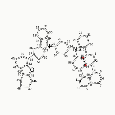 c1ccc(-c2cccc3cccc(-c4ccc(N(c5ccccc5)c5ccc(-n6c7ccccc7c7cc(-c8cccc9c8oc8ccccc89)ccc76)cc5)cc4)c23)cc1